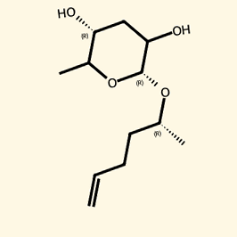 C=CCC[C@@H](C)O[C@@H]1OC(C)[C@H](O)CC1O